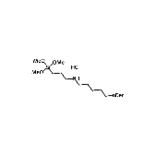 CCCCCCCCCCCCCCCNCCC[Si](OC)(OC)OC.Cl